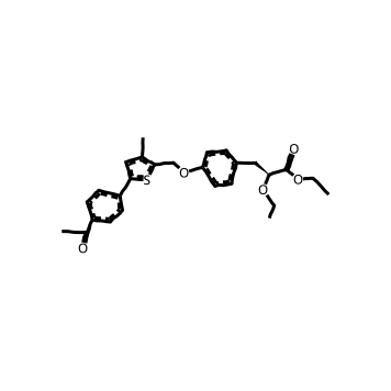 CCOC(=O)[C@H](Cc1ccc(OCc2sc(-c3ccc(C(C)=O)cc3)cc2C)cc1)OCC